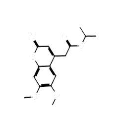 COc1cc2oc(=O)cc(CC(=O)OC(C)C)c2cc1OC